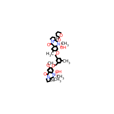 COc1cc2c(cc1OCc1cc(C)cc(COc3cc4c(cc3C)C(=O)N3CCC[C@H]3[C@H](OC3CCCCO3)N4B(C)O)c1)N(B(C)O)[C@@H](C)[C@@H]1CCCN1C2=O